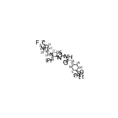 CCS(=O)(=O)c1ccc(CC(=O)Nc2nc3c(s2)CN(C[C@@H]2CCC(C(F)(F)F)NC2)C3C(C)C)cc1